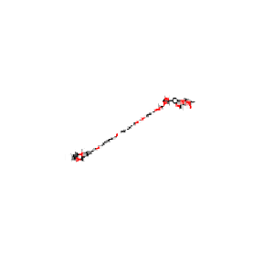 CCCN(OCC)C(=O)C1=Cc2ccc(-c3nccc(CNC(=O)CCOCCOCCOCCOCCOCCOCCOCCOCCOCCOCCC(=O)Oc4c(F)c(F)c(S(=O)(=O)O)c(F)c4F)n3)cc2N=C(N)C1